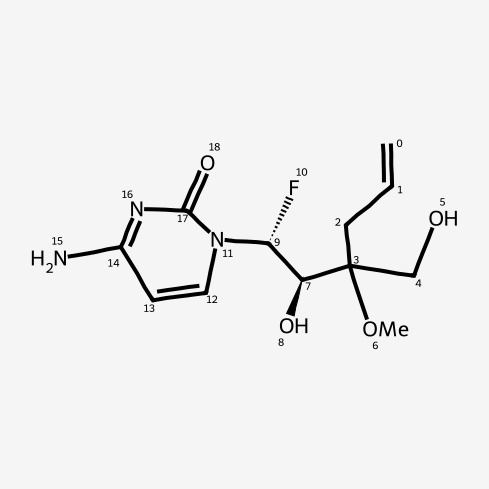 C=CCC(CO)(OC)[C@@H](O)[C@@H](F)n1ccc(N)nc1=O